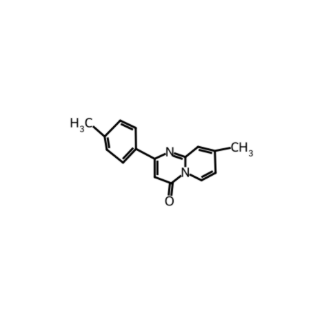 Cc1ccc(-c2cc(=O)n3ccc(C)cc3n2)cc1